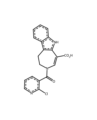 O=C(O)C1=CN(C(=O)c2cccnc2Cl)CCc2c1[nH]c1ccccc21